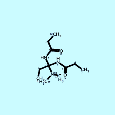 [CH2]CC(NC(=O)CC)(NC(=O)CC)N(C)C